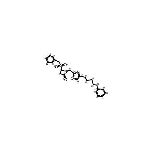 O=C1CC(S(=O)(=O)Cc2ccccc2)N1Cc1nc(CCCCCc2ccccc2)cs1